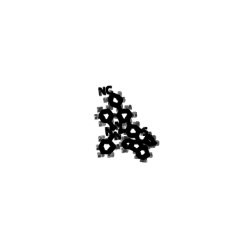 N#Cc1ccc(-c2ccc(-c3cc4c(cc3-c3nc(-c5ccccc5)nc(-c5ccccc5)n3)C3(C5=C(C=CCC5)c5ccccc53)c3ccccc3S4)cc2)cc1